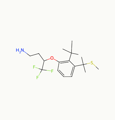 CSC(C)(C)c1cccc(OC(CCN)C(F)(F)F)c1C(C)(C)C